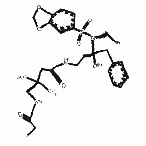 CC(C)CN(C(O)(CCNC(=O)CC(C)(C)CNC(=O)CCl)Cc1ccccc1)S(=O)(=O)c1ccc2c(c1)OCO2